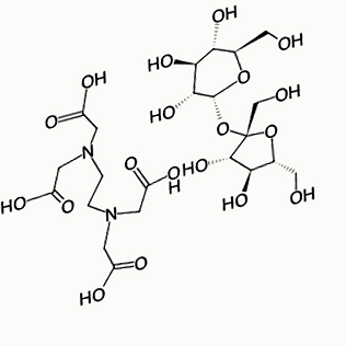 O=C(O)CN(CCN(CC(=O)O)CC(=O)O)CC(=O)O.OC[C@H]1O[C@@](CO)(O[C@H]2O[C@H](CO)[C@@H](O)[C@H](O)[C@H]2O)[C@@H](O)[C@@H]1O